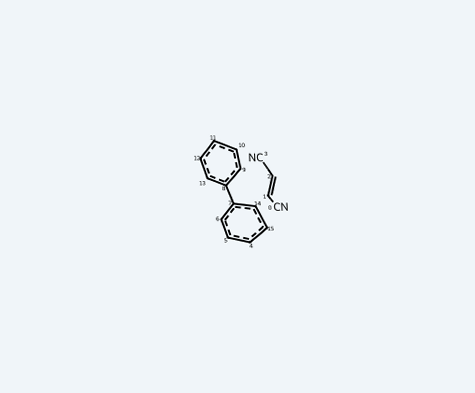 N#CC=CC#N.c1ccc(-c2ccccc2)cc1